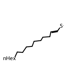 CCCCCCCCCCCCCCC=C[S]